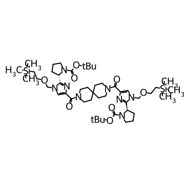 CC(C)(C)OC(=O)N1CCC[C@@H]1c1nc(C(=O)N2CCC3(CC2)CCN(C(=O)c2cn(COCC[Si](C)(C)C)c([C@@H]4CCCN4C(=O)OC(C)(C)C)n2)CC3)cn1COCC[Si](C)(C)C